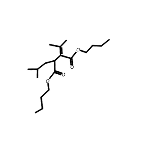 CCCCOC(=O)C(=C(C)C)C(CC(C)C)C(=O)OCCCC